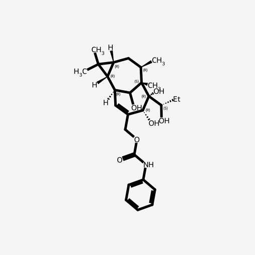 CC[C@H](O)[C@@]1(O)[C@H](O)C(COC(=O)Nc2ccccc2)=C[C@@H]2C(O)[C@]1(C)[C@H](C)C[C@@H]1[C@H]2C1(C)C